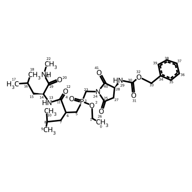 CCOP(=O)(CC(CC(C)C)C(=O)N[C@@H](CC(C)C)C(=O)NC)CN1C(=O)C[C@H](NC(=O)OCc2ccccc2)C1=O